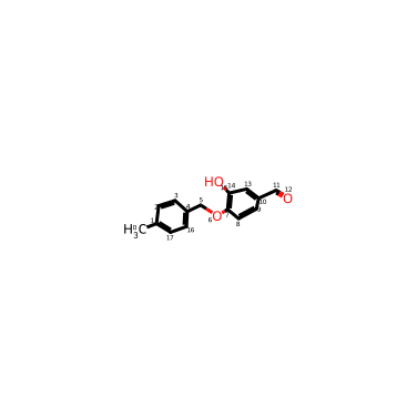 Cc1ccc(COc2ccc(C=O)cc2O)cc1